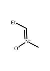 CCC=[N+](C)[O-]